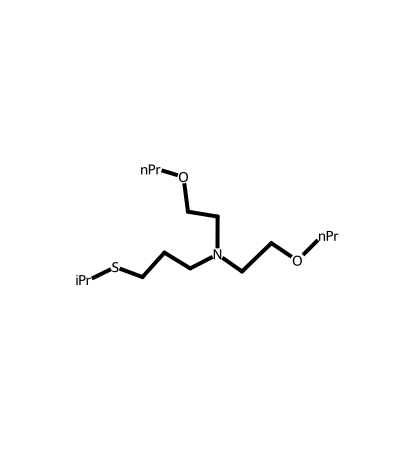 CCCOCCN(CCCSC(C)C)CCOCCC